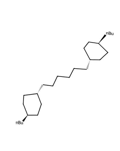 CCCC[C@H]1CC[C@H](CCCCCC[C@H]2CC[C@H](CCCC)CC2)CC1